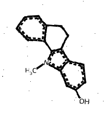 Cn1c2c(c3ccc(O)cc31)CCc1ccccc1-2